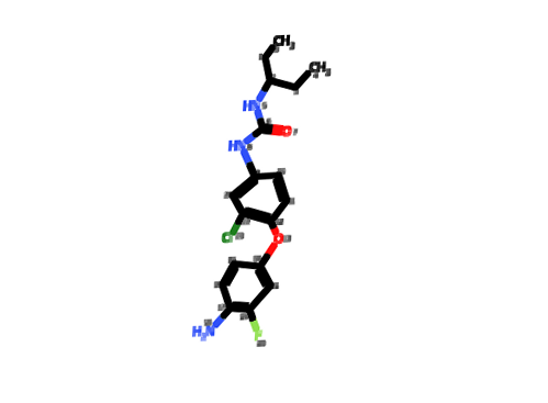 CCC(CC)NC(=O)Nc1ccc(Oc2ccc(N)c(F)c2)c(Cl)c1